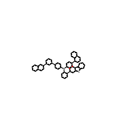 c1cc(-c2ccc(N(c3ccc(-c4cccc5ccccc45)cc3)c3ccccc3-c3ccc4c(c3)sc3ccccc34)cc2)cc(-c2ccc3ccccc3c2)c1